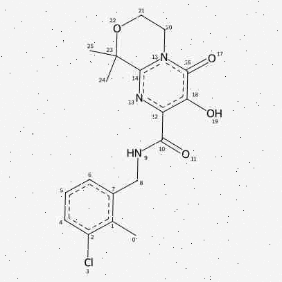 Cc1c(Cl)cccc1CNC(=O)c1nc2n(c(=O)c1O)CCOC2(C)C